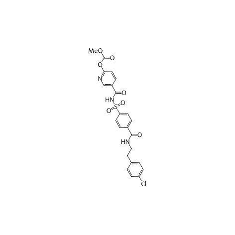 COC(=O)Oc1ccc(C(=O)NS(=O)(=O)c2ccc(C(=O)NCCc3ccc(Cl)cc3)cc2)cn1